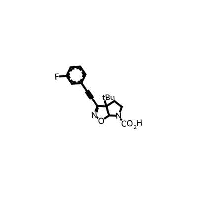 CC(C)(C)C12CCN(C(=O)O)C1ON=C2C#Cc1cccc(F)c1